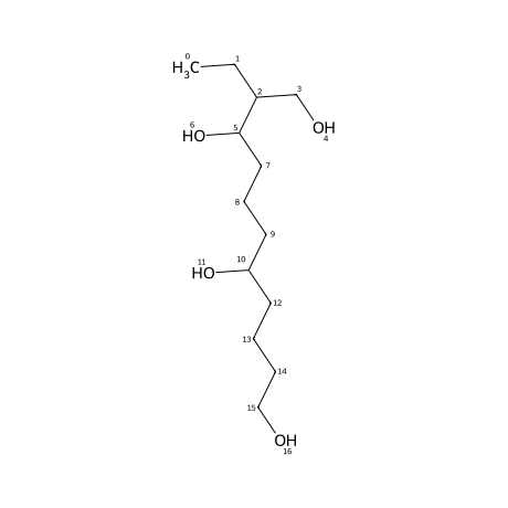 CCC(CO)C(O)CCCC(O)CCCCO